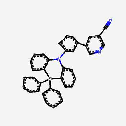 N#Cc1cncc(-c2cccc(N3c4ccccc4[Si](c4ccccc4)(c4ccccc4)c4ccccc43)c2)c1